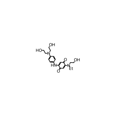 CCN(CCO)C1=CC(=O)C(Nc2ccc(N(CCO)CCO)cc2)=CC1=O